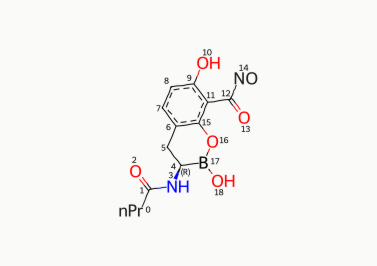 CCCC(=O)N[C@H]1Cc2ccc(O)c(C(=O)N=O)c2OB1O